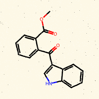 COC(=O)c1ccccc1C(=O)c1c[nH]c2ccccc12